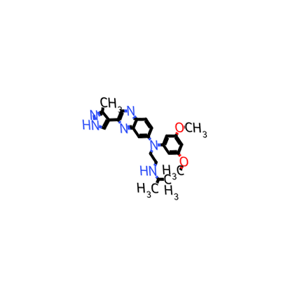 COc1cc(OC)cc(N(CCNC(C)C)c2ccc3ncc(-c4c[nH]nc4C)nc3c2)c1